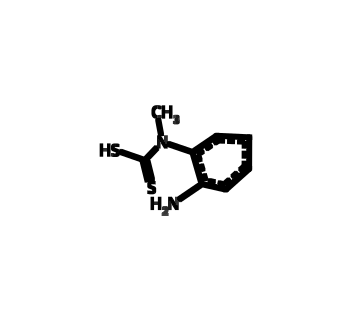 CN(C(=S)S)c1ccccc1N